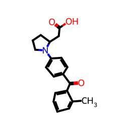 Cc1ccccc1C(=O)c1ccc(N2CCCC2CC(=O)O)cc1